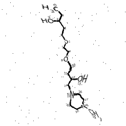 CCC(O)CCOCCOCCC(O)CN1CCN(C)CC1